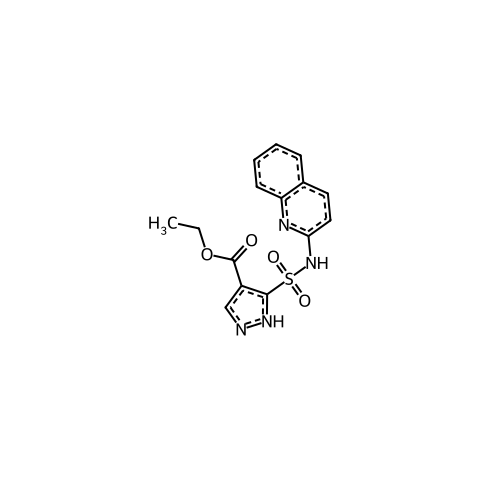 CCOC(=O)c1cn[nH]c1S(=O)(=O)Nc1ccc2ccccc2n1